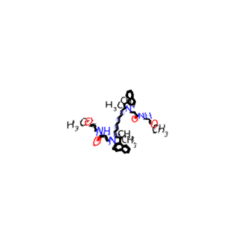 COCCCNC(=O)CCN1/C(=C/C=C/C=C/C=C/C2=[N+](CCC(=O)NCCCOC)c3ccc4ccccc4c3C2(C)C)C(C)(C)c2c1ccc1ccccc21